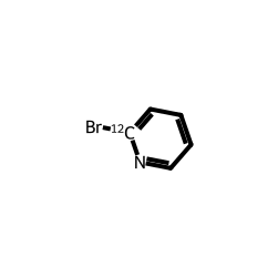 Br[12c]1ccccn1